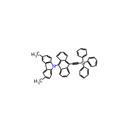 Cc1ccc2c(c1)c1cc(C)ccc1n2-c1c2ccccc2c(C#C[Si](c2ccccc2)(c2ccccc2)c2ccccc2)c2ccccc12